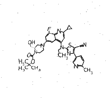 CCN(c1nc(-c2ccc(C)nc2)c(C#N)s1)c1cc(C2CC2)nc2c(F)cc(N3CCN(C(=O)OC(C)(C)C)[C@H](CO)C3)cc12